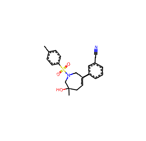 Cc1ccc(S(=O)(=O)N2CC(c3cccc(C#N)c3)=CCC(C)(O)C2)cc1